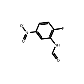 O=CNc1cc([N+](=O)[O-])ccc1F